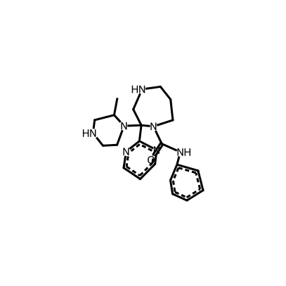 CC1CNCCN1C1(c2ncccn2)CNCCCN1C(=O)Nc1ccccc1